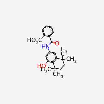 CC1(C)CCC(C)(C)c2c(O)cc(NC(=O)c3ccccc3C(=O)O)cc21